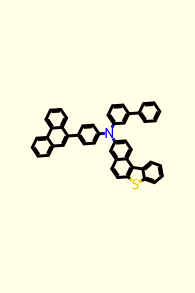 c1ccc(-c2cccc(N(c3ccc(-c4cc5ccccc5c5ccccc45)cc3)c3ccc4c(ccc5sc6ccccc6c54)c3)c2)cc1